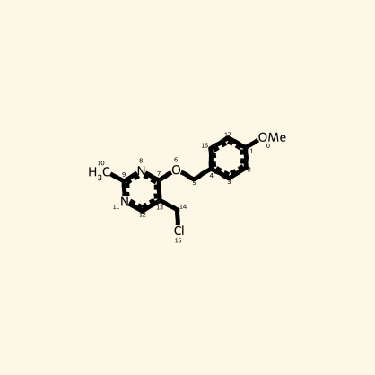 COc1ccc(COc2nc(C)ncc2CCl)cc1